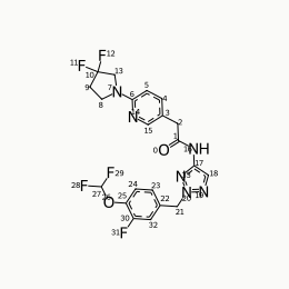 O=C(Cc1ccc(N2CCC(F)(F)C2)nc1)Nc1cnn(Cc2ccc(OC(F)F)c(F)c2)n1